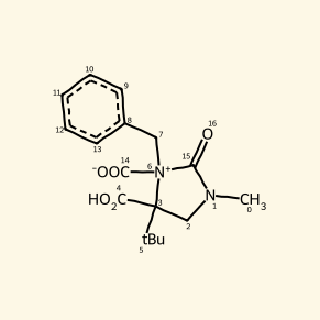 CN1CC(C(=O)O)(C(C)(C)C)[N+](Cc2ccccc2)(C(=O)[O-])C1=O